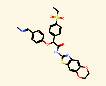 CCS(=O)(=O)c1ccc(C(Oc2ccc(/C=N/C)cc2)C(=O)Nc2nc3cc4c(cc3s2)OCCO4)cc1